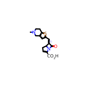 CN1CCc2sc(/C=C3/C(=O)N4C(C(=O)O)=CCC34)cc2C1